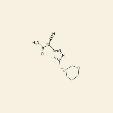 N#C[C@H](C(N)=O)n1cc([CH][C@H]2CCCOC2)nn1